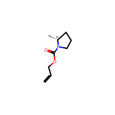 C=CCOC(=O)N1CCC[C@H]1C